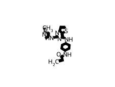 C=CC(=O)N[C@H]1CC[C@@H](Nc2nc(Nc3cnn(C)c3)nc3ccsc23)CC1